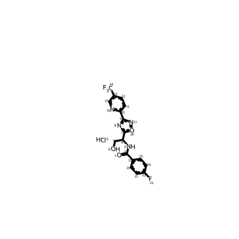 Cl.O=C(NC(CO)c1nc(-c2ccc(C(F)(F)F)cn2)no1)c1ccc(F)cc1